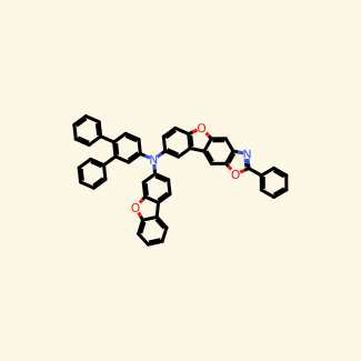 c1ccc(-c2nc3cc4oc5ccc(N(c6ccc(-c7ccccc7)c(-c7ccccc7)c6)c6ccc7c(c6)oc6ccccc67)cc5c4cc3o2)cc1